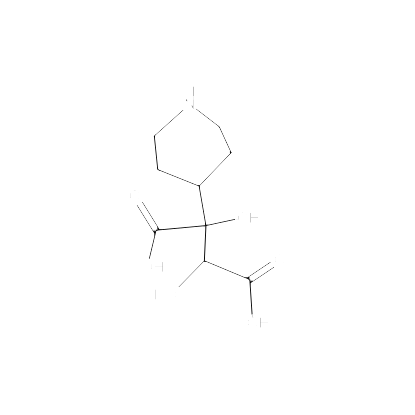 O=C(O)C(O)C(O)(C(=O)O)C1CCNCC1